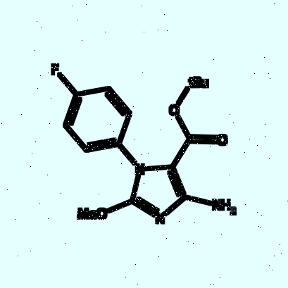 COc1nc(N)c(C(=O)OC(C)(C)C)n1-c1ccc(F)cc1